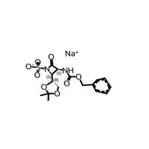 CC1(C)OC[C@@H]([C@@H]2[C@H](NC(=O)OCc3ccccc3)C(=O)N2S(=O)(=O)[O-])O1.[Na+]